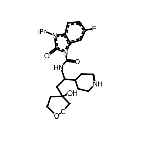 CC(C)n1c(=O)n(C(=O)NC(CC2(O)CCOCC2)C2CCNCC2)c2cc(F)ccc21